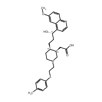 COc1ccc2nccc([C@@H](O)CC[C@@H]3CCN(CCSc4ccc(C)cc4)C[C@@H]3CC(=O)O)c2c1